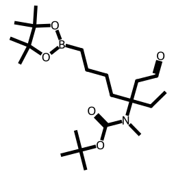 CCC(CC=O)(CCCCB1OC(C)(C)C(C)(C)O1)N(C)C(=O)OC(C)(C)C